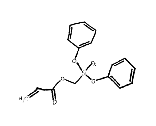 C=CC(=O)OC[Si](CC)(Oc1ccccc1)Oc1ccccc1